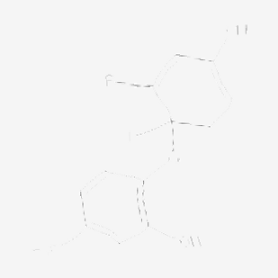 CC1=CCC(F)(Oc2ccc(C)cc2O)C(F)=C1